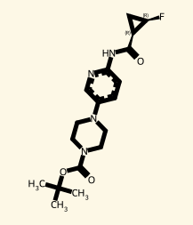 CC(C)(C)OC(=O)N1CCN(c2ccc(NC(=O)[C@H]3C[C@H]3F)nc2)CC1